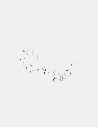 Cc1cc(C(=O)N2CCC(N(C)C)C2)cc(C)c1C=CS(=O)(=O)N1CCC2(CC1)N=C(c1cccc(OC(F)(F)F)c1)NC2=O